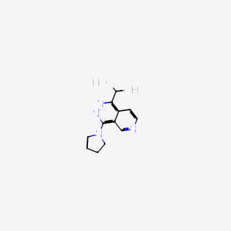 CC(C)c1nnc(N2CCCC2)c2cnccc12